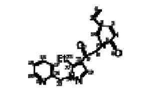 C=Cc1ccc(=O)n(CC(=O)c2cnn(Cc3ccccn3)c2CC)c1